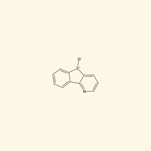 [O-][s+]1c2ccccc2c2ncccc21